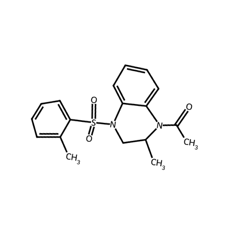 CC(=O)N1c2ccccc2N(S(=O)(=O)c2ccccc2C)CC1C